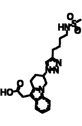 CS(=O)(=O)NCCCCc1cn(C2CCc3c(CC(=O)O)c4ccccc4n3C2)nn1